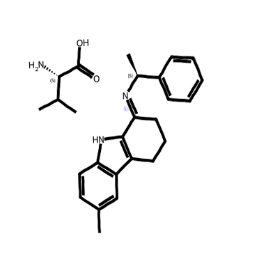 CC(C)[C@H](N)C(=O)O.Cc1ccc2[nH]c3c(c2c1)CCC/C3=N\[C@@H](C)c1ccccc1